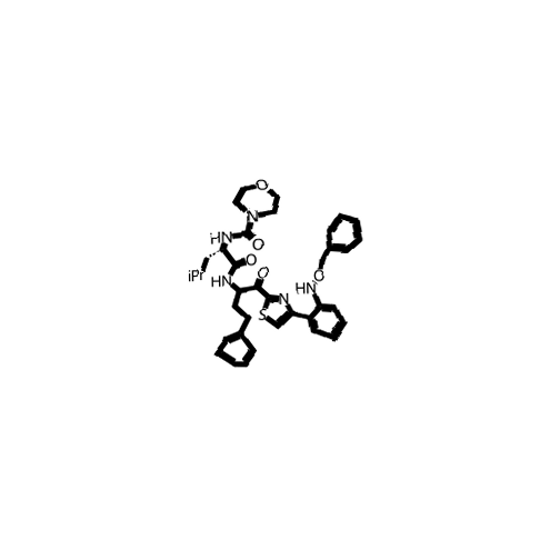 CC(C)C[C@H](NC(=O)N1CCOCC1)C(=O)NC(CCc1ccccc1)C(=O)c1nc(-c2ccccc2NOCc2ccccc2)cs1